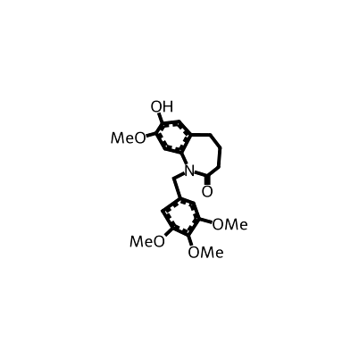 COc1cc2c(cc1O)CCCC(=O)N2Cc1cc(OC)c(OC)c(OC)c1